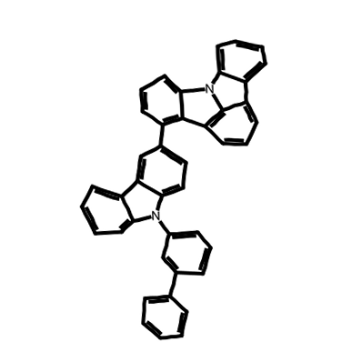 c1ccc(-c2cccc(-n3c4ccccc4c4cc(-c5cccc6c5c5cccc7c8ccccc8n6c75)ccc43)c2)cc1